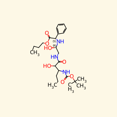 CCCCOC(=O)[C@@H](N[C@H](O)CNC(=O)C(O)C(CCC)NC(=O)OC(C)(C)C)c1ccccc1